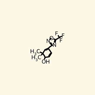 CC1(C)C=C(c2noc(C(F)(F)F)n2)C=CC1O